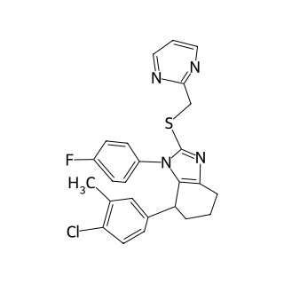 Cc1cc(C2CCCc3nc(SCc4ncccn4)n(-c4ccc(F)cc4)c32)ccc1Cl